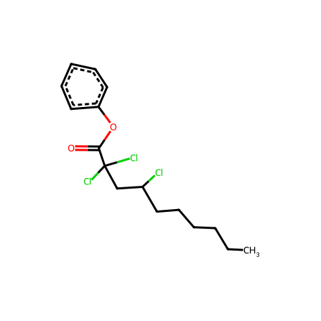 CCCCCCC(Cl)CC(Cl)(Cl)C(=O)Oc1ccccc1